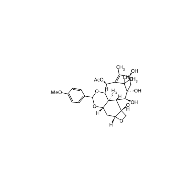 COc1ccc(C2O[C@H]3C[C@H]4OC[C@@]4(O)[C@H]4[C@H](O)[C@]5(O)C[C@H](O)C(C)=C([C@H](OC(C)=O)[C@H](O2)[C@]34C)C5(C)C)cc1